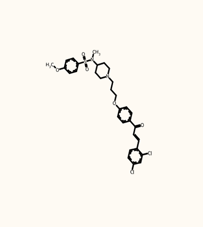 COc1ccc(S(=O)(=O)N(C)C2CCN(CCCOc3ccc(C(=O)C=Cc4ccc(Cl)cc4Cl)cc3)CC2)cc1